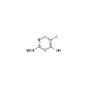 CNc1ncc(I)c(O)n1